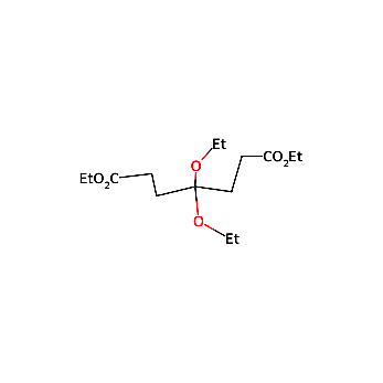 CCOC(=O)CCC(CCC(=O)OCC)(OCC)OCC